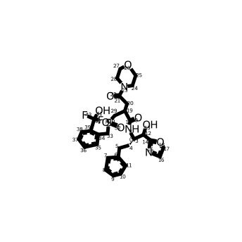 O=C(N[C@@H](CCc1ccccc1)C(O)c1ncco1)C(CC(=O)N1CCOCC1)CS(=O)(=O)Cc1ccccc1C(O)(F)F